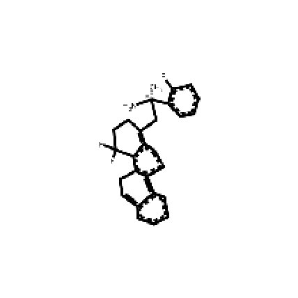 C[C@@](N)(CC1=c2ccc3c(c2C(F)(F)CC1)CC=c1ccccc1=3)c1ccccc1F